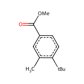 COC(=O)c1ccc(C(C)(C)C)c(C)c1